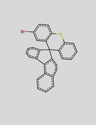 Brc1ccc2c(c1)C1(c3ccccc3S2)c2ccccc2-c2c1ccc1ccccc21